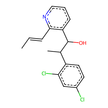 CC=Cc1ncccc1C(O)C(C)c1ccc(Cl)cc1Cl